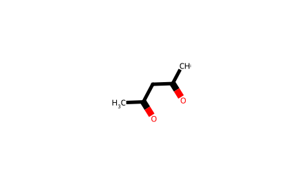 [CH]C(=O)CC(C)=O